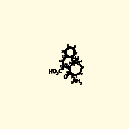 N[C@H]1CCS[C@H]2c3ccccc3C[C@@H](C(=O)O)N2C1=O